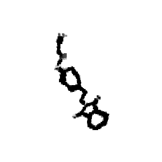 C#CCNSc1ccc(CCN2C(=O)c3ccccc3C2=O)cc1